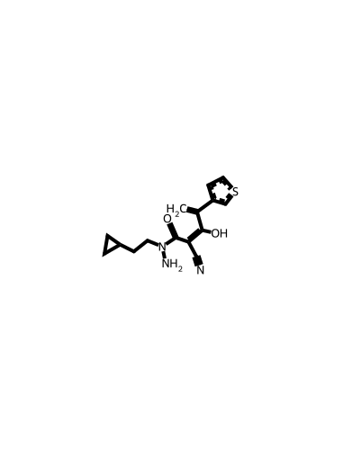 C=C(/C(O)=C(/C#N)C(=O)N(N)CCC1CC1)c1ccsc1